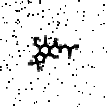 COn1c2c(c(O)c(C(=O)NCC(=O)O)c1=O)CS(O)(O)C2